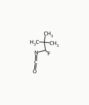 CC(C)(C)C(F)N=C=O